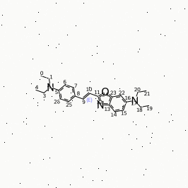 CCN(CC)c1ccc(/C=C/c2nc3ccc(N(CC)CC)cc3o2)cc1